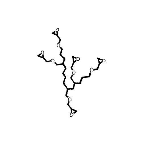 C(CCC(COCC1CO1)CC(CCCOCC1CO1)COCC1CO1)CC(CCCOCC1CO1)COCC1CO1